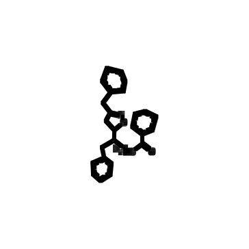 NC(Cc1ccccc1)C1CC(Cc2ccccc2)=NO1.O=C(O)c1ccccc1